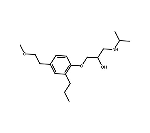 CCCc1cc(CCOC)ccc1OCC(O)CNC(C)C